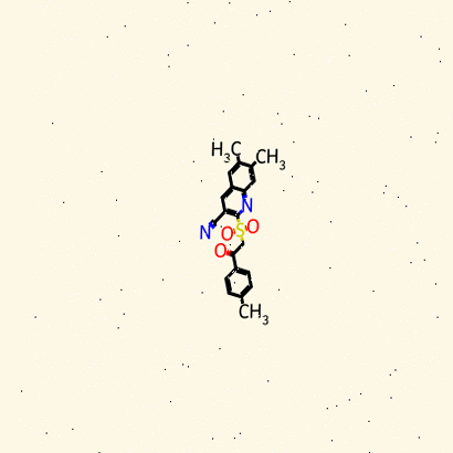 Cc1ccc(C(=O)CS(=O)(=O)c2nc3cc(C)c(C)cc3cc2C#N)cc1